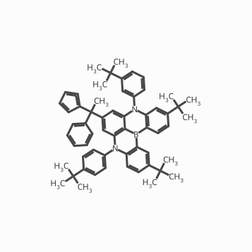 CC(C)(C)c1ccc(N2c3ccc(C(C)(C)C)cc3B3c4ccc(C(C)(C)C)cc4N(c4cccc(C(C)(C)C)c4)c4cc(C(C)(C5=C=CC=C5)c5ccccc5)cc2c43)cc1